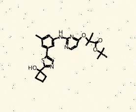 Cc1cc(Nc2nccc(OC(C)(C)C(=O)OC(C)(C)C)n2)cc(-c2cnc(C3(O)CCC3)s2)c1